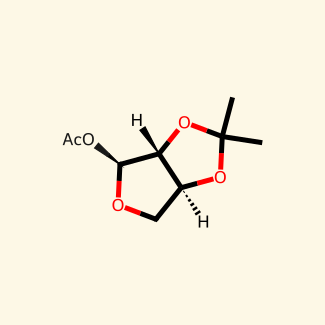 CC(=O)O[C@@H]1OC[C@@H]2OC(C)(C)O[C@@H]12